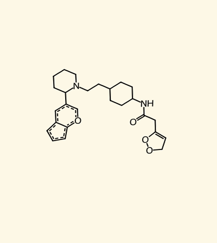 O=C(CC1=CCOO1)NC1CCC(CCN2CCCCC2c2coc3cccc-3c2)CC1